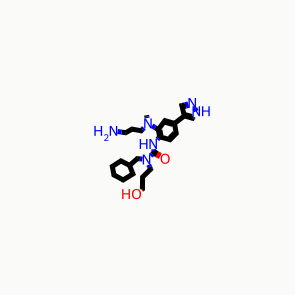 CN(CCCN)c1cc(-c2cn[nH]c2)ccc1NC(=O)N(CCCO)CC1CCCCC1